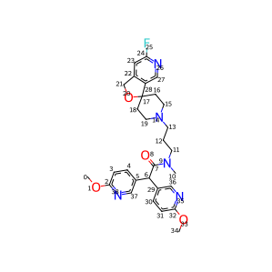 COc1ccc(C(C(=O)N(C)CCCN2CCC3(CC2)OCc2cc(F)ncc23)c2ccc(OC)nc2)cn1